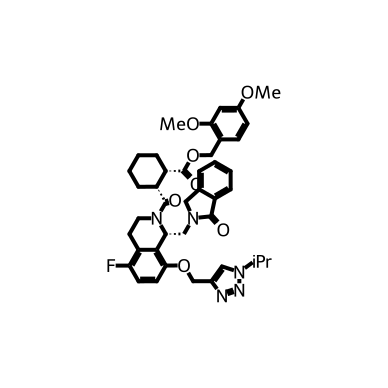 COc1ccc(COC(=O)[C@H]2CCCC[C@H]2C(=O)N2CCc3c(F)ccc(OCc4cn(C(C)C)nn4)c3[C@H]2CN2Cc3ccccc3C2=O)c(OC)c1